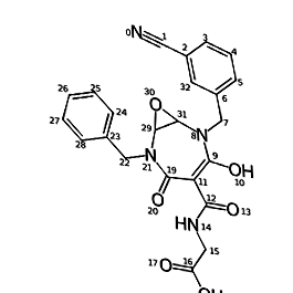 N#Cc1cccc(CN2C(O)=C(C(=O)NCC(=O)O)C(=O)N(Cc3ccccc3)C3OC32)c1